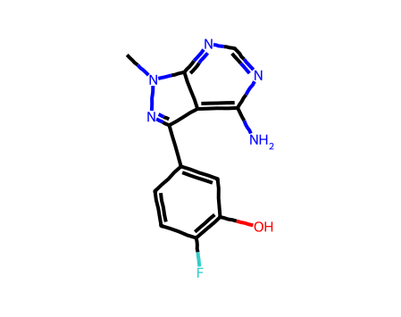 Cn1nc(-c2ccc(F)c(O)c2)c2c(N)ncnc21